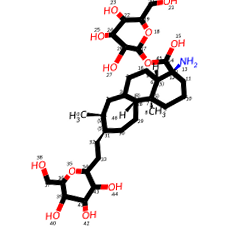 C[C@H]1CC2CC[C@H]3[C@@](C)(CCC[C@@]3(N)C(O)OC3OC(CO)C(O)C(O)C3O)[C@@H]2CC[C@H]1CCC1OC(CO)C(O)C(O)C1O